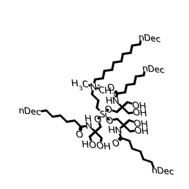 CCCCCCCCCCCCCCCCCCCC[N+](C)(C)CCC[Si](OCC(CO)(CO)NC(=O)CCCCCCCCCCCCCCC)(OCC(CO)(CO)NC(=O)CCCCCCCCCCCCCCC)OCC(CO)(CO)NC(=O)CCCCCCCCCCCCCCC